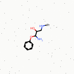 CC(C)NCC(O)C(N)Oc1ccccc1